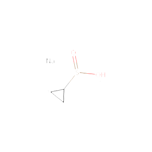 O=S(O)C1CC1.[Na]